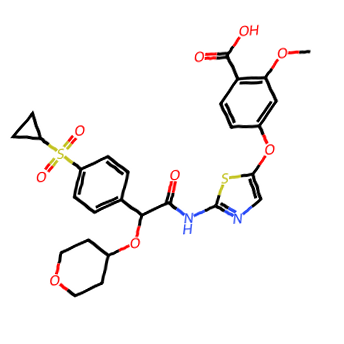 COc1cc(Oc2cnc(NC(=O)C(OC3CCOCC3)c3ccc(S(=O)(=O)C4CC4)cc3)s2)ccc1C(=O)O